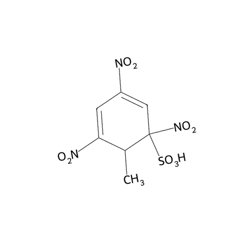 CC1C([N+](=O)[O-])=CC([N+](=O)[O-])=CC1([N+](=O)[O-])S(=O)(=O)O